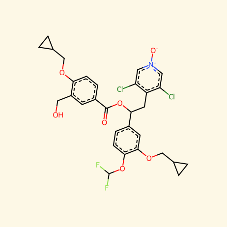 O=C(OC(Cc1c(Cl)c[n+]([O-])cc1Cl)c1ccc(OC(F)F)c(OCC2CC2)c1)c1ccc(OCC2CC2)c(CO)c1